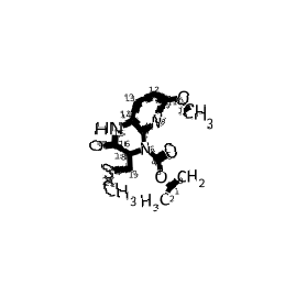 C=C(C)OC(=O)N1c2nc(OC)ccc2NC(=O)C1CSC